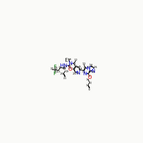 C=CCCOc1nc(-c2cc(C(C)N(CC)C(=O)N[C@H](CC=C)CCC(C)(F)F)ccn2)c(C)n2ccnc12